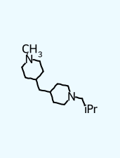 CC(C)CN1CCC(CC2CCN(C)CC2)CC1